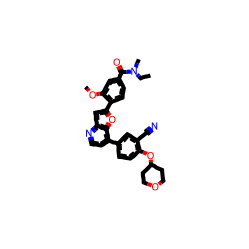 CCN(C)C(=O)c1ccc(-c2cc3nccc(-c4ccc(OC5CCOCC5)c(C#N)c4)c3o2)c(OC)c1